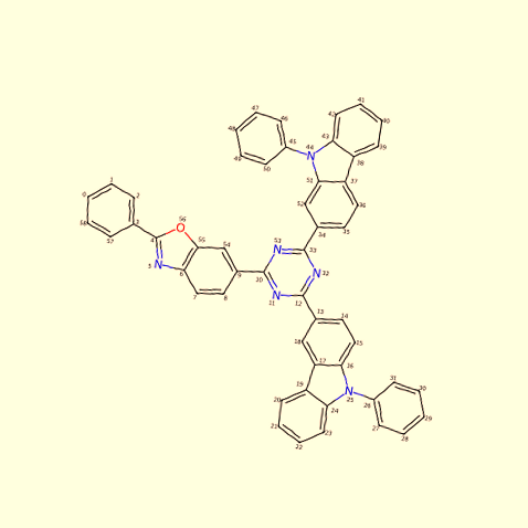 c1ccc(-c2nc3ccc(-c4nc(-c5ccc6c(c5)c5ccccc5n6-c5ccccc5)nc(-c5ccc6c7ccccc7n(-c7ccccc7)c6c5)n4)cc3o2)cc1